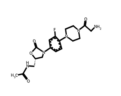 CC(=O)NC[C@H]1CN(c2ccc(N3CCN(C(=O)CN)CC3)c(F)c2)C(=O)O1